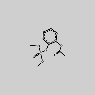 COP(=S)(OC)Sc1ccccc1OC(C)=O